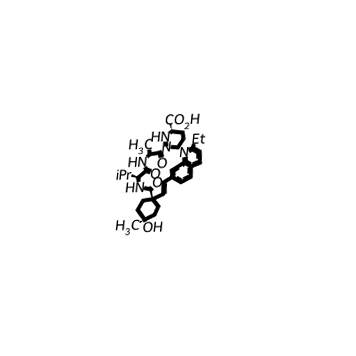 CCc1ccc2ccc(/C=C/[C@]3(C(=O)N[C@H](C(=O)NC(C)C(=O)N4CCC[C@@H](C(=O)O)N4)C(C)C)CC[C@@](C)(O)CC3)cc2n1